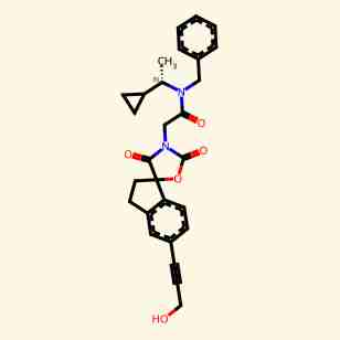 C[C@@H](C1CC1)N(Cc1ccccc1)C(=O)CN1C(=O)OC2(CCc3cc(C#CCO)ccc32)C1=O